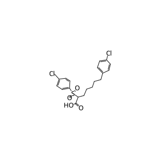 O=C(O)C(CCCCCc1ccc(Cl)cc1)S(=O)(=O)c1ccc(Cl)cc1